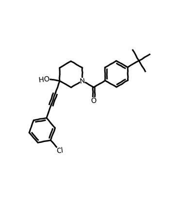 CC(C)(C)c1ccc(C(=O)N2CCCC(O)(C#Cc3cccc(Cl)c3)C2)cc1